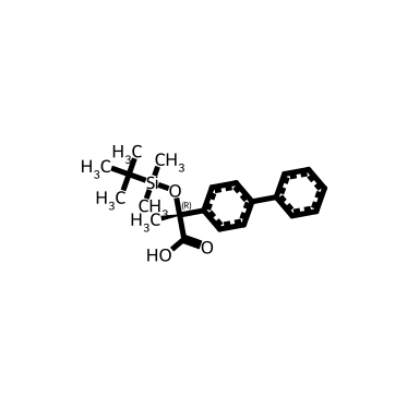 CC(C)(C)[Si](C)(C)O[C@@](C)(C(=O)O)c1ccc(-c2ccccc2)cc1